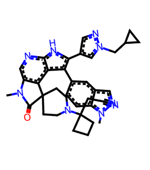 CN1C(=O)C2(CCN(C3(CC#N)CCC3)CC2)c2c1cnc1[nH]c(-c3cnn(CC4CC4)c3)c(-c3ccc4c(cnn4C)c3)c21